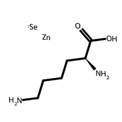 NCCCC[C@H](N)C(=O)O.[Se].[Zn]